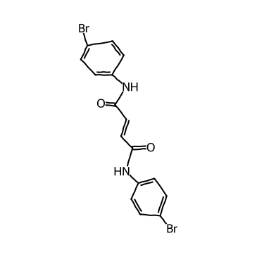 O=C(C=CC(=O)Nc1ccc(Br)cc1)Nc1ccc(Br)cc1